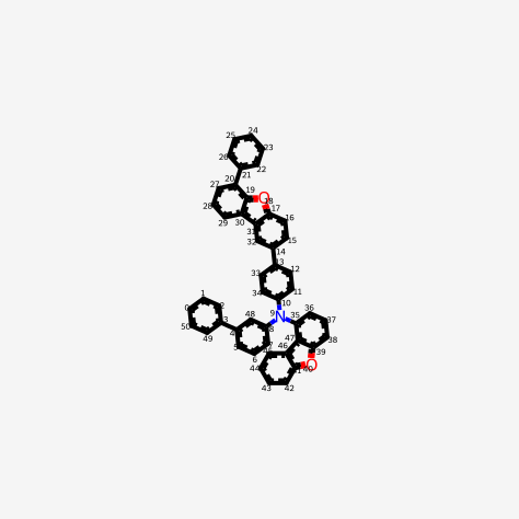 c1ccc(-c2cccc(N(c3ccc(-c4ccc5oc6c(-c7ccccc7)cccc6c5c4)cc3)c3cccc4oc5ccccc5c34)c2)cc1